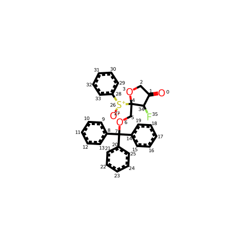 O=C1COC(COC(c2ccccc2)(c2ccccc2)c2ccccc2)([S+]([O-])c2ccccc2)C1F